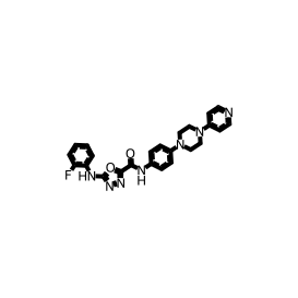 O=C(Nc1ccc(N2CCN(c3ccncc3)CC2)cc1)c1nnc(Nc2ccccc2F)o1